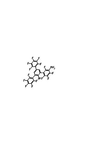 Fc1c(F)c(F)c(-c2cc(-c3c(F)c(F)c(F)c(F)c3F)c(Br)c(-c3c(F)c(F)c(F)c(P)c3F)c2)c(F)c1F